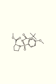 COC(=O)[C@@H]1CCCN1S(=O)(=NC(=O)OC(C)(C)C)c1ccc(OC)cc1